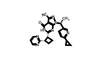 C[C@@H](c1ccc(C2CC2)nc1)n1nc(C#N)c2c(=O)[nH]c([C@@H]3CC[C@@H]3c3ncccn3)nc21